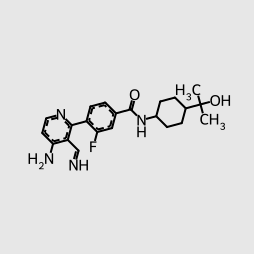 CC(C)(O)C1CCC(NC(=O)c2ccc(-c3nccc(N)c3C=N)c(F)c2)CC1